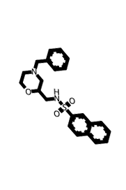 O=S(=O)(NCC1CN(Cc2ccccc2)CCO1)c1ccc2ccccc2c1